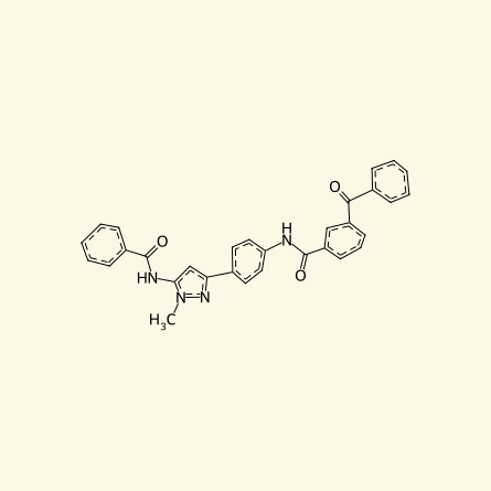 Cn1nc(-c2ccc(NC(=O)c3cccc(C(=O)c4ccccc4)c3)cc2)cc1NC(=O)c1ccccc1